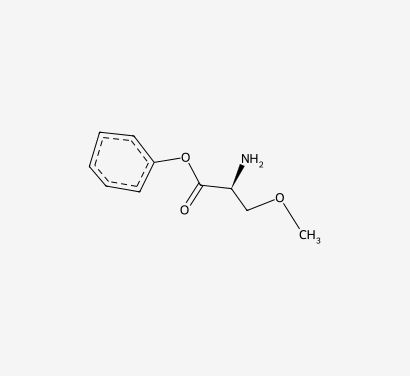 COC[C@H](N)C(=O)Oc1ccccc1